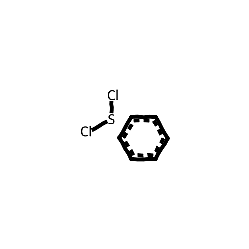 ClSCl.c1ccccc1